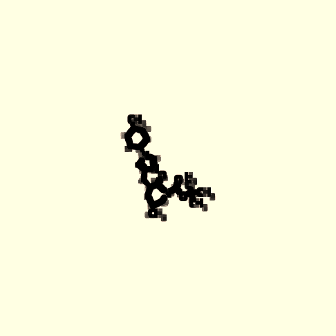 C[C@H]1C[C@@H](Cc2cn([C@H]3CC[C@H](C)CC3)cn2)C(=O)N(C(=O)OC(C)(C)C)C1